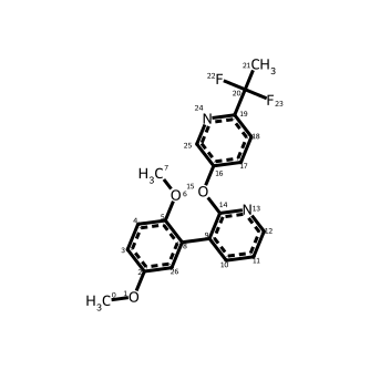 COc1ccc(OC)c(-c2cccnc2Oc2ccc(C(C)(F)F)nc2)c1